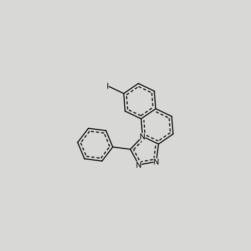 Ic1ccc2ccc3nnc(-c4ccccc4)n3c2c1